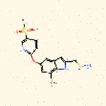 COc1cc(Oc2ccc(S(C)(=O)=O)cn2)cc2cc(CSN)[nH]c12